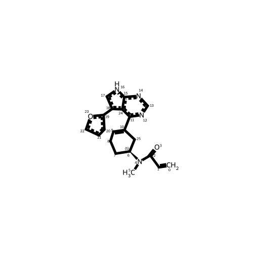 C=CC(=O)N(C)[C@H]1CCC=C(c2ncnc3[nH]cc(-c4ccco4)c23)C1